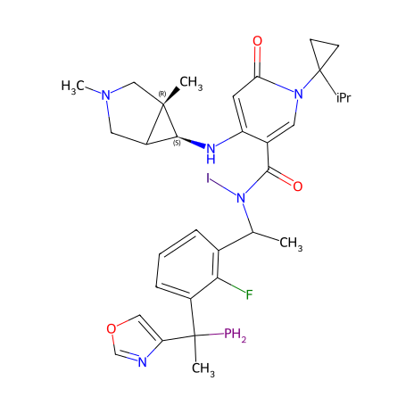 CC(c1cccc(C(C)(P)c2cocn2)c1F)N(I)C(=O)c1cn(C2(C(C)C)CC2)c(=O)cc1N[C@H]1C2CN(C)C[C@@]21C